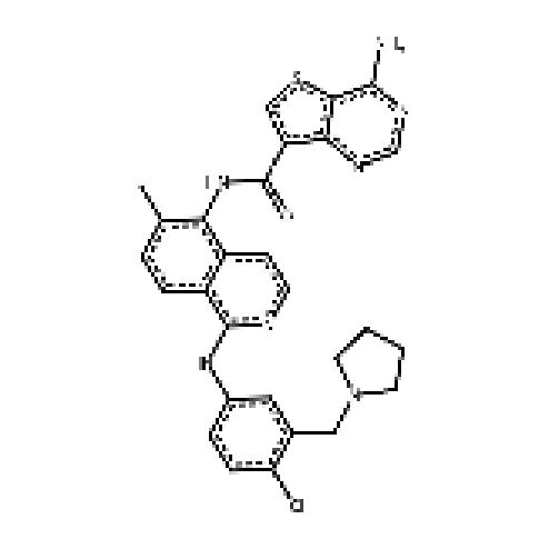 Cc1ccc2c(Nc3ccc(Cl)c(CN4CCCC4)c3)nccc2c1NC(=O)c1csc2c(N)ncnc12